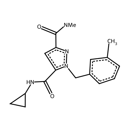 CNC(=O)c1cc(C(=O)NC2CC2)n(Cc2cccc(C)c2)n1